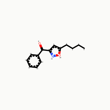 CCCCc1cc(C(=O)c2ccccc2)no1